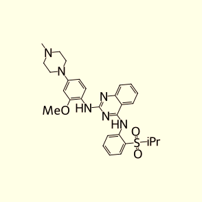 COc1cc(N2CCN(C)CC2)ccc1Nc1nc(Nc2ccccc2S(=O)(=O)C(C)C)c2ccccc2n1